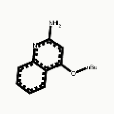 CCCCOc1cc(N)nc2ccccc12